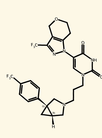 O=c1[nH]c(=O)n(CCCN2C[C@@H]3C[C@]3(c3ccc(C(F)(F)F)cc3)C2)cc1-n1nc(C(F)(F)F)c2c1CCOC2